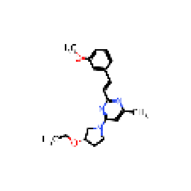 CCO[C@H]1CCN(c2cc(C)nc(/C=C/c3cccc(OC)c3)n2)C1